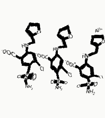 NS(=O)(=O)c1cc(C(=O)[O-])c(NCc2ccco2)cc1Cl.NS(=O)(=O)c1cc(C(=O)[O-])c(NCc2ccco2)cc1Cl.NS(=O)(=O)c1cc(C(=O)[O-])c(NCc2ccco2)cc1Cl.[Al+3]